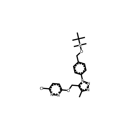 Cc1nnn(-c2ccc(CO[Si](C)(C)C(C)(C)C)cc2)c1COc1ccc(Cl)nn1